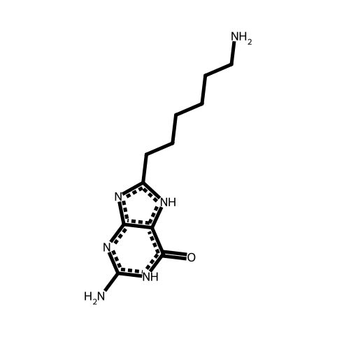 NCCCCCCc1nc2nc(N)[nH]c(=O)c2[nH]1